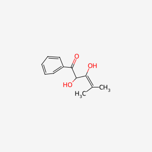 CC(C)=C(O)C(O)C(=O)c1ccccc1